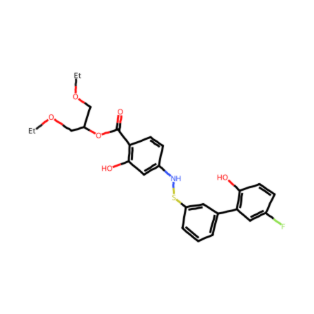 CCOCC(COCC)OC(=O)c1ccc(NSc2cccc(-c3cc(F)ccc3O)c2)cc1O